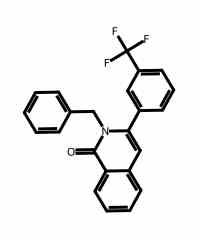 O=c1c2ccccc2cc(-c2cccc(C(F)(F)F)c2)n1Cc1ccccc1